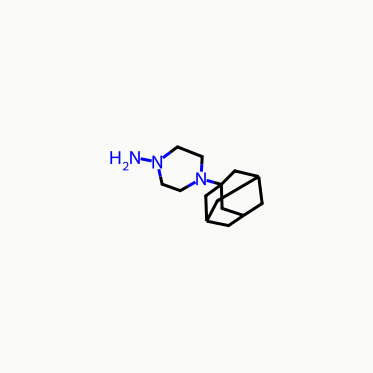 NN1CCN(C23CC4CC(CC(C4)C2)C3)CC1